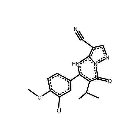 COc1ccc(-c2[nH]c3c(C#N)cnn3c(=O)c2C(C)C)cc1Cl